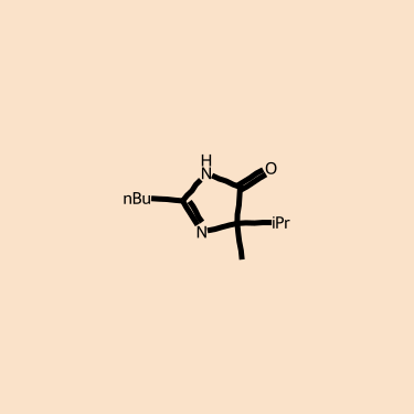 CCCCC1=NC(C)(C(C)C)C(=O)N1